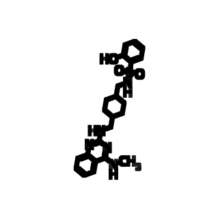 CNc1nc(NCC2CCC(CNS(=O)(=O)c3ccccc3O)CC2)nc2ccccc12